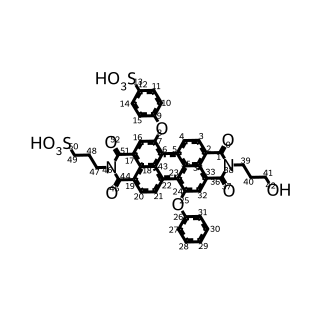 O=C1c2ccc3c4c(Oc5ccc(S(=O)(=O)O)cc5)cc5c6c(ccc(c7c(Oc8ccccc8)cc(c2c37)C(=O)N1CCCO)c64)C(=O)N(CCCS(=O)(=O)O)C5=O